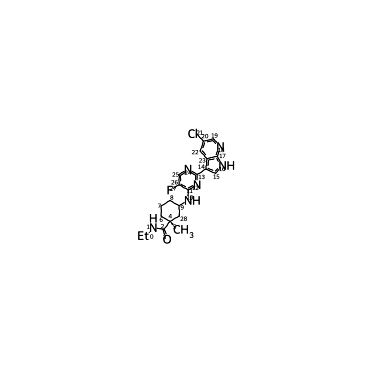 CCNC(=O)[C@]1(C)CCCC(Nc2nc(-c3c[nH]c4ncc(Cl)cc34)ncc2F)C1